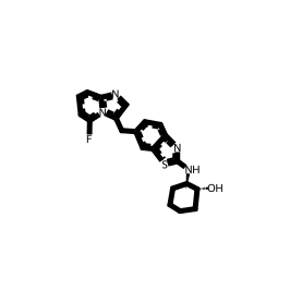 O[C@@H]1CCCC[C@H]1Nc1nc2ccc(Cc3cnc4cccc(F)n34)cc2s1